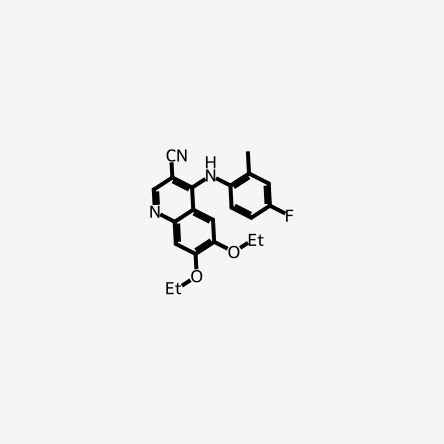 CCOc1cc2ncc(C#N)c(Nc3ccc(F)cc3C)c2cc1OCC